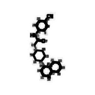 N#Cc1ccc(NC(=O)C[C@H]2CC[C@@H](c3ccnc4ccccc43)CC2)cc1